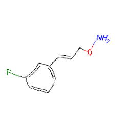 NOC/C=C/c1cccc(F)c1